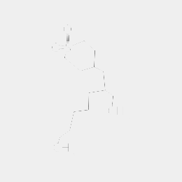 CCCCCCC(CC)CC1CCS(=O)(=O)CC1